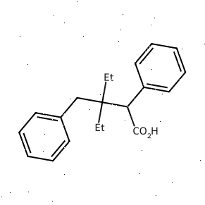 CCC(CC)(Cc1ccccc1)C(C(=O)O)c1ccccc1